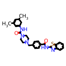 CC1=CC(C)CC(NC(=O)N2CCN(Cc3ccc(C(=O)Nc4nc5ccccc5s4)cc3)CC2)=C1